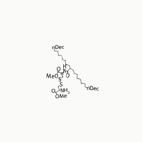 CCCCCCCCCCCCCCCCCCC(CCCCCCCCCCCCCCCCCC)C(=O)N[C@@H](CSSCC(N)C(=O)OC)C(=O)OC